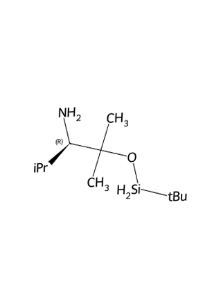 CC(C)[C@@H](N)C(C)(C)O[SiH2]C(C)(C)C